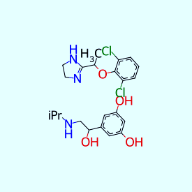 CC(C)NCC(O)c1cc(O)cc(O)c1.CC(Oc1c(Cl)cccc1Cl)C1=NCCN1